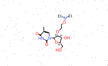 CCN(CC)OCCO[C@H]1C(n2cc(C)c(=O)[nH]c2=O)O[C@H](CO)[C@H]1O